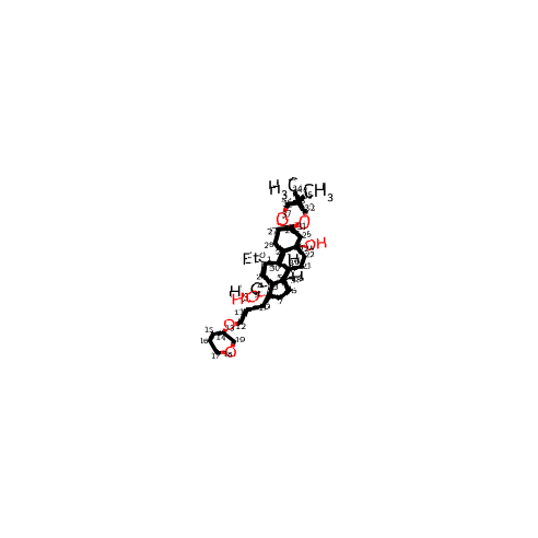 CC[C@H]1C[C@@]2(C)[C@@H](CC[C@@]2(O)CCCOC2CCCOC2)[C@@H]2CC[C@@]3(O)CC4(CCC3=C12)OCC(C)(C)CO4